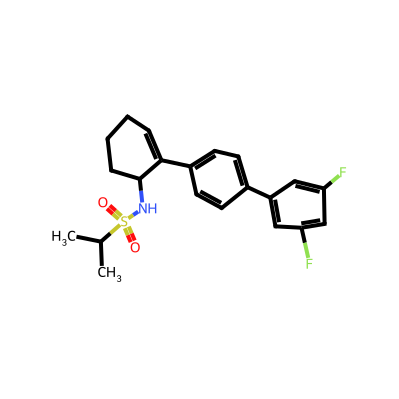 CC(C)S(=O)(=O)NC1CCCC=C1c1ccc(-c2cc(F)cc(F)c2)cc1